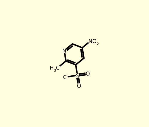 Cc1ncc([N+](=O)[O-])cc1S(=O)(=O)Cl